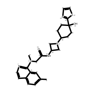 Cc1ccc2ccnc(N(C)CC(=O)NC3CN(C4CCC(O)(c5nccs5)CC4)C3)c2c1